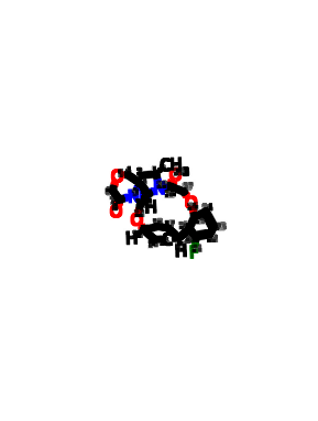 C[C@@H]1C[C@@]2(COCC(=O)N2)[C@@H]2CO[C@H]3CC[C@H](CC3)C3C(F)=CC=CC3OCC(=O)N12